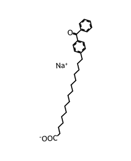 O=C([O-])CCCCCCCCCCCCCCCc1ccc(C(=O)c2ccccc2)cc1.[Na+]